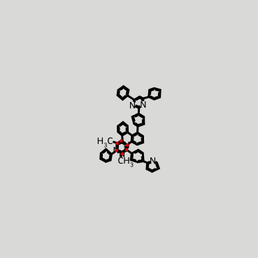 Cc1cc(-c2cccc(-c3ccc(-c4nc(-c5ccccc5)cc(-c5ccccc5)n4)cc3)c2-c2ccccc2-c2cc(-c3ccccc3)nc(-c3ccc(-c4ccccn4)cc3)n2)cc(C)n1